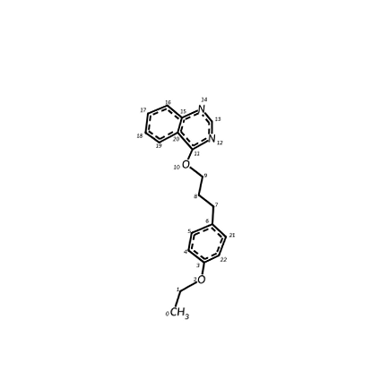 CCOc1ccc(CCCOc2ncnc3ccccc23)cc1